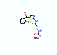 CC(C)(C)OC(=O)NCCCNc1ncc(C(=O)c2ccccc2C(F)(F)F)s1